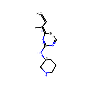 C=C/C(CC)=C(CC)/N=C(\N=C/C(C)C)N[C@H]1CCCNC1